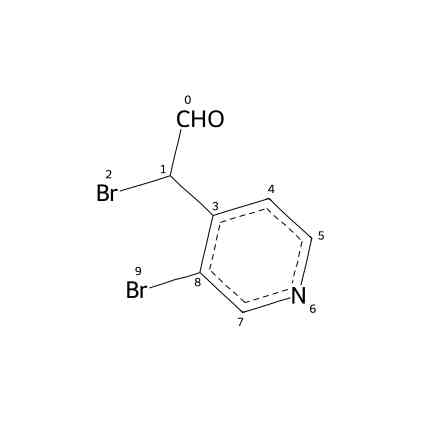 O=CC(Br)c1ccncc1Br